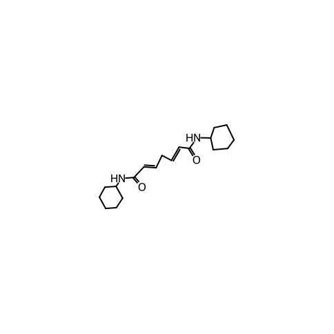 O=C(C=CCC=CC(=O)NC1CCCCC1)NC1CCCCC1